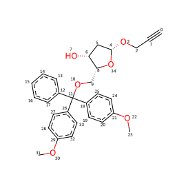 C#CCO[C@H]1C[C@@H](O)[C@@H](COC(c2ccccc2)(c2ccc(OC)cc2)c2ccc(OC)cc2)O1